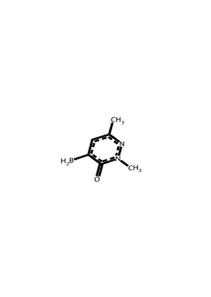 Bc1cc(C)nn(C)c1=O